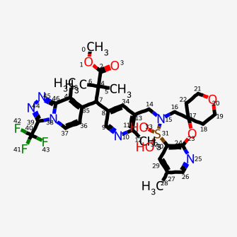 COC(=O)C(C)(C)C(c1cnc(C)c(CN2CC3(CCOCC3)Oc3ncc(C)cc3S2(O)O)c1)c1ccn2c(C(F)(F)F)nnc2c1C